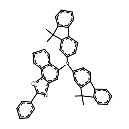 CC1(C)c2ccccc2-c2ccc(N(c3ccc4c(c3)C(C)(C)c3ccccc3-4)c3cc4nc(-c5ccccc5)oc4c4ccccc34)cc21